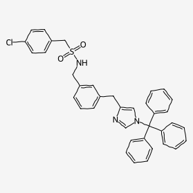 O=S(=O)(Cc1ccc(Cl)cc1)NCc1cccc(Cc2cn(C(c3ccccc3)(c3ccccc3)c3ccccc3)cn2)c1